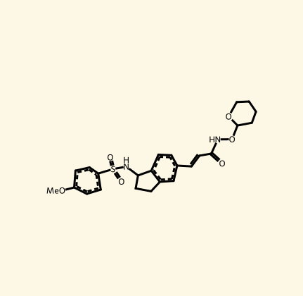 COc1ccc(S(=O)(=O)NC2CCc3cc(/C=C/C(=O)NOC4CCCCO4)ccc32)cc1